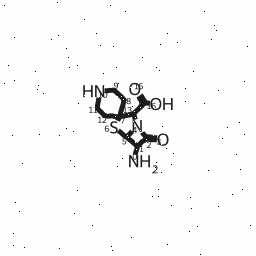 NC1C(=O)N2C1SC1(CCNCC1)C2C(=O)O